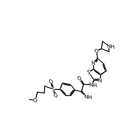 COCCCS(=O)(=O)c1ccc(C(=N)C(=O)Nc2nc3ccc(OC4CNC4)nc3s2)cc1